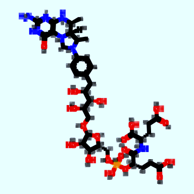 CC1[C@H]2[C@H](C)Nc3nc(N)[nH]c(=O)c3N2CN1c1ccc(C[C@H](O)[C@H](O)[C@H](O)CO[C@H]2O[C@H](COP(=O)(O)O[C@@H](CCC(=O)O)C(=O)N[C@@H](CCC(=O)O)C(=O)O)[C@@H](O)[C@H]2O)cc1